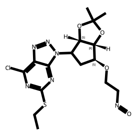 CCSc1nc(Cl)c2nnn(C3C[C@H](OCCN=O)[C@H]4OC(C)(C)O[C@@H]34)c2n1